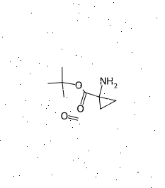 C=O.CC(C)(C)OC(=O)C1(N)CC1